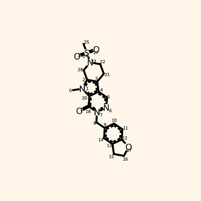 Cn1c2c(c3cnn(Cc4ccc5c(c4)CCO5)c(=O)c31)CCN(S(C)(=O)=O)C2